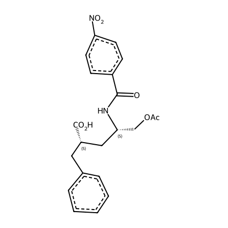 CC(=O)OC[C@H](C[C@H](Cc1ccccc1)C(=O)O)NC(=O)c1ccc([N+](=O)[O-])cc1